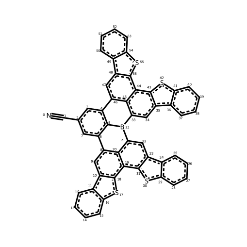 N#Cc1cc2c3c(c1)-c1cc4c5ccccc5sc4c4c1c(cc1c5ccccc5sc14)B3c1cc3c4ccccc4sc3c3c1c-2cc1c2ccccc2sc13